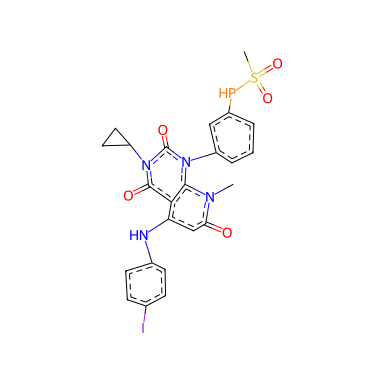 Cn1c(=O)cc(Nc2ccc(I)cc2)c2c(=O)n(C3CC3)c(=O)n(-c3cccc(PS(C)(=O)=O)c3)c21